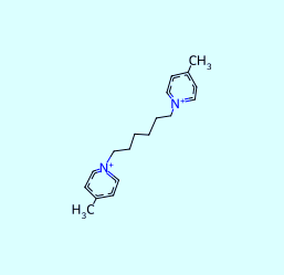 Cc1cc[n+](CCCCCC[n+]2ccc(C)cc2)cc1